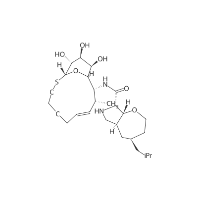 CC(C)C[C@@H]1CCO[C@@H]2[C@H](CN[C@@H]2C(=O)N[C@H]2[C@H]3O[C@H](SCCCC/C=C/[C@H]2C)[C@H](O)[C@@H](O)[C@H]3O)C1